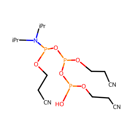 CC(C)N(C(C)C)P(OCCC#N)OP(OCCC#N)OP(O)OCCC#N